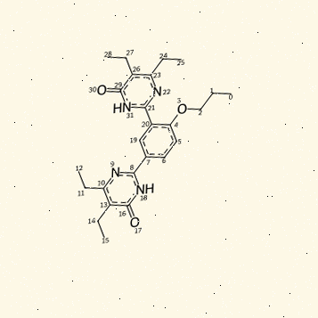 CCCOc1ccc(-c2nc(CC)c(CC)c(=O)[nH]2)cc1-c1nc(CC)c(CC)c(=O)[nH]1